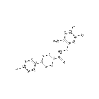 CCc1cc(CNC(=O)N2CCN(c3ccc(F)cc3)CC2)c(OC)nc1C